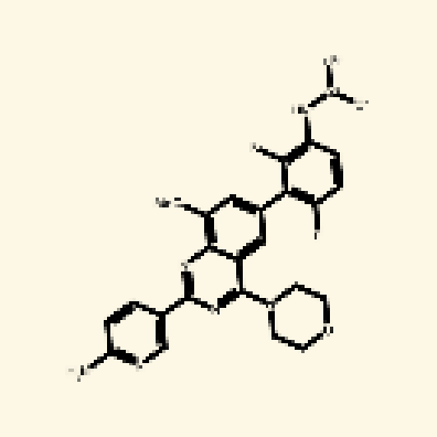 CCC[S+]([O-])Nc1ccc(F)c(-c2cc(OC)c3nc(-c4ccc(N)nc4)nc(N4CCOCC4)c3c2)c1F